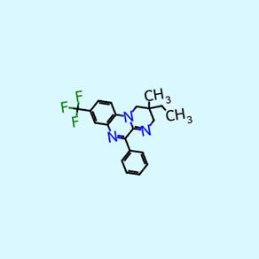 CCC1(C)CN=C2C(c3ccccc3)=Nc3cc(C(F)(F)F)ccc3N2C1